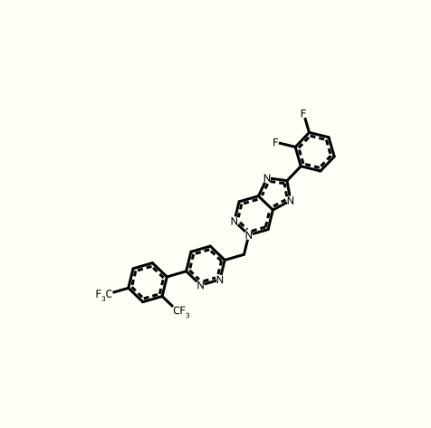 Fc1cccc(-c2nc3cnn(Cc4ccc(-c5ccc(C(F)(F)F)cc5C(F)(F)F)nn4)cc-3n2)c1F